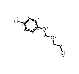 ClCCOCOc1ccc(Cl)cc1